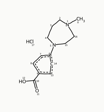 CN1CCCN(c2ccc(C(=O)O)cc2)CC1.Cl